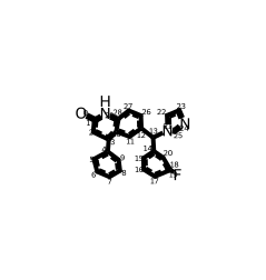 O=c1cc(-c2ccccc2)c2cc(C(c3cccc(F)c3)n3ccnc3)ccc2[nH]1